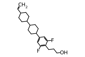 C=CC1CCC(C2CCC(c3cc(F)c(CCCO)c(F)c3)CC2)CC1